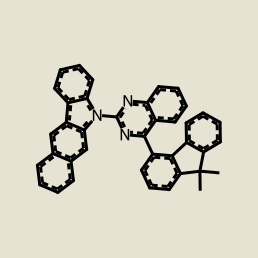 CC1(C)c2ccccc2-c2c(-c3nc(-n4c5ccccc5c5cc6ccccc6cc54)nc4ccccc34)cccc21